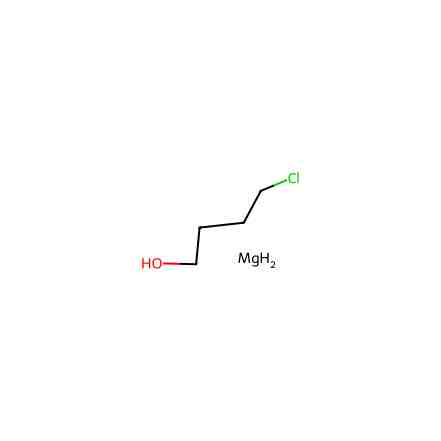 OCCCCCl.[MgH2]